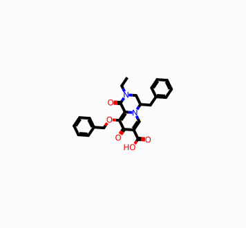 CCN1CC(Cc2ccccc2)n2cc(C(=O)O)c(=O)c(OCc3ccccc3)c2C1=O